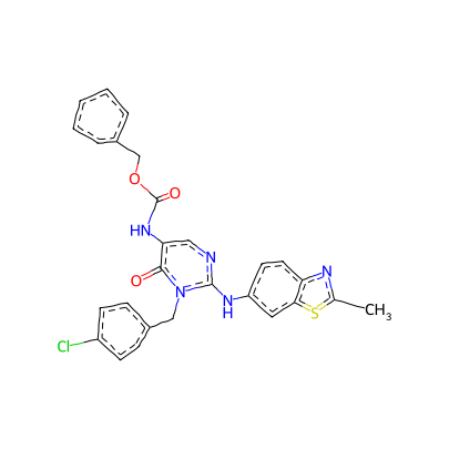 Cc1nc2ccc(Nc3ncc(NC(=O)OCc4ccccc4)c(=O)n3Cc3ccc(Cl)cc3)cc2s1